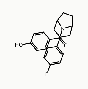 O=C(c1ccc(O)cc1)N1C2CCC1CC(c1ccc(F)cc1)C2